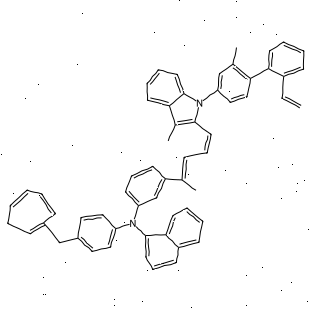 C=Cc1ccccc1-c1ccc(-n2c(/C=C\C=C(/C)c3cccc(N(c4ccc(CC5=CCC=CC=C5)cc4)c4cccc5ccccc45)c3)c(C)c3ccccc32)cc1C